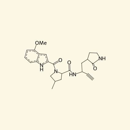 C#CC(CC1CCNC1=O)NC(=O)C1CC(C)CN1C(=O)c1cc2c(OC)cccc2[nH]1